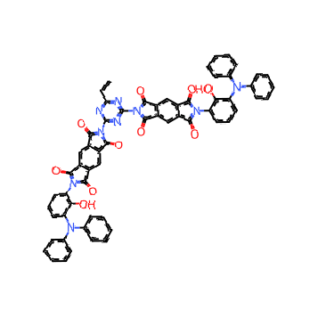 C=Cc1nc(-n2c(=O)c3cc4c(=O)n(-c5cccc(N(c6ccccc6)c6ccccc6)c5O)c(=O)c4cc3c2=O)nc(-n2c(=O)c3cc4c(=O)n(-c5cccc(N(c6ccccc6)c6ccccc6)c5O)c(=O)c4cc3c2=O)n1